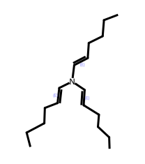 CCCC/C=C/N(/C=C/CCCC)/C=C/CCCC